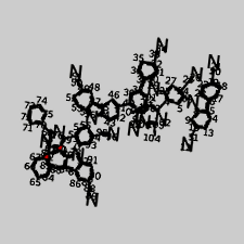 Cc1cc(-c2cc(-n3c4cc(C#N)ccc4c4ccc(C#N)cc43)c(C#N)cc2-n2c3cc(C#N)ccc3c3cc(-c4ccc5c(c4)c4cc(C#N)ccc4n5-c4cc(-c5cc(-c6ccccc6)nc(-c6ccccc6)n5)c(-n5c6ccccc6c6cc(C#N)ccc65)cc4C#N)c(C#N)cc32)nc(C)n1